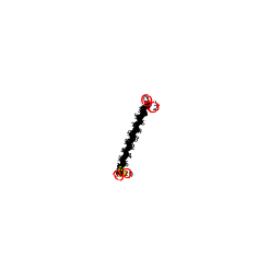 [O]C(=O)CCCCCCCCCCCCCCC=S(=O)=O